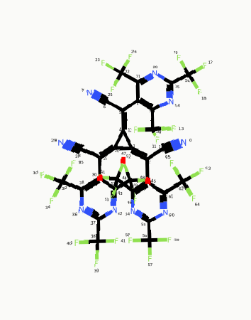 N#CC(=C1C(=C(C#N)c2c(C(F)(F)F)nc(C(F)(F)F)nc2C(F)(F)F)C1=C(C#N)c1c(C(F)(F)F)nc(C(F)(F)F)nc1C(F)(F)F)c1c(C(F)(F)F)nc(C(F)(F)F)nc1C(F)(F)F